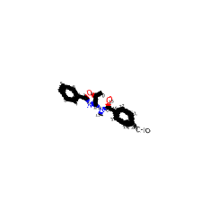 Cc1oc(-c2ccccc2)nc1N(C)C(=O)c1ccc(C=O)cc1